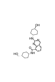 O=C(N[C@H]1CC[C@@H](CO)CC1)c1cccc2cnc(N[C@H]3CC[C@H](O)CC3)nc12